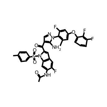 CC(=O)Nc1cc2c(cc1F)cc(C(=O)c1cnn(-c3c(C)cc(Oc4cccc(F)c4F)cc3F)c1N)n2S(=O)(=O)c1ccc(C)cc1